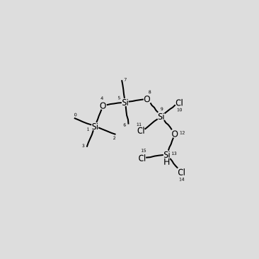 C[Si](C)(C)O[Si](C)(C)O[Si](Cl)(Cl)O[SiH](Cl)Cl